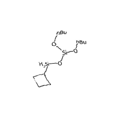 CCCCO[Si](OCCCC)O[SiH2]C1CCC1